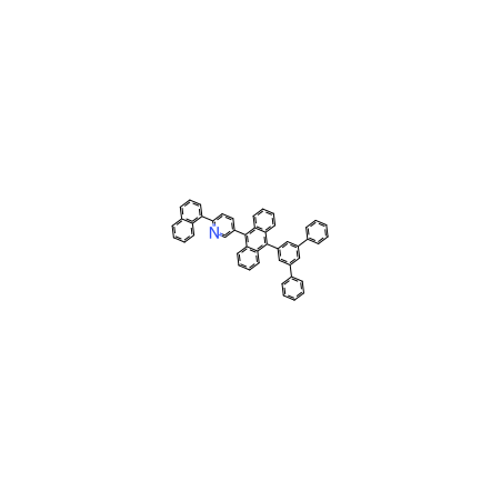 c1ccc(-c2cc(-c3ccccc3)cc(-c3c4ccccc4c(-c4ccc(-c5cccc6ccccc56)nc4)c4ccccc34)c2)cc1